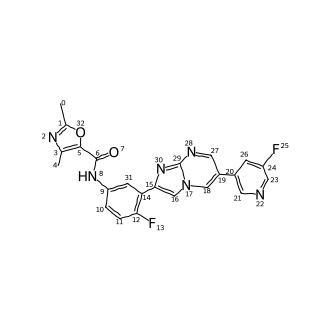 Cc1nc(C)c(C(=O)Nc2ccc(F)c(-c3cn4cc(-c5cncc(F)c5)cnc4n3)c2)o1